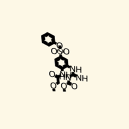 COCC(=O)Nc1ccc(S(=O)(=O)Oc2ccccc2)cc1NC(=N)NC(=O)OC